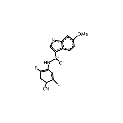 COc1ccc2c([S+]([O-])NC3=C(F)CC(C#N)C(F)=C3)c[nH]c2c1